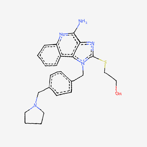 Nc1nc2ccccc2c2c1nc(SCCO)n2Cc1ccc(CN2CCCC2)cc1